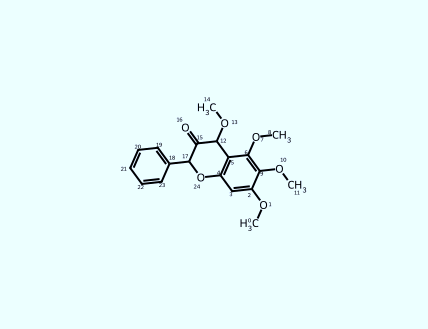 COc1cc2c(c(OC)c1OC)C(OC)C(=O)C(c1ccccc1)O2